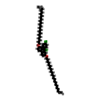 CCCCCCCCCCCCCCCCCCCCCCOc1ccc2c(c1)C(Br)(c1ccc(Cl)cc1)c1cc(OCCCCCCCCCCCCCCCCCCCCCC)ccc1-2